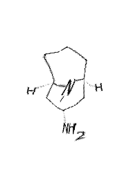 CN1[C@@H]2CCC[C@H]1C[C@H](N)C2